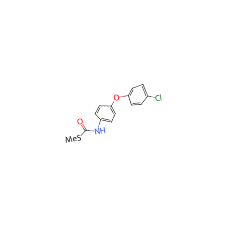 CSC(=O)Nc1ccc(Oc2ccc(Cl)cc2)cc1